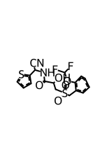 N#CC(NC(=O)C(O)CS(=O)(=O)Cc1ccccc1OC(F)F)c1cccs1